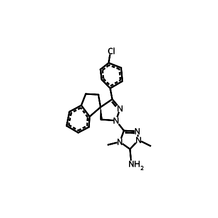 CN1N=C(N2C[C@@]3(CCc4ccccc43)C(c3ccc(Cl)cc3)=N2)N(C)C1N